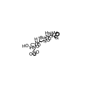 CN[C@H](C(=O)NC(C(=O)N(C)C/C=C(\C)C(=O)N[C@H](CC(=O)O)C(=O)NCCN1C(=O)C=CC1=O)C(C)(C)C)C(C)(C)c1cn(C)c2ccccc12